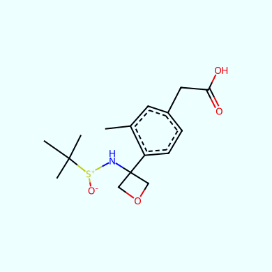 Cc1cc(CC(=O)O)ccc1C1(N[S+]([O-])C(C)(C)C)COC1